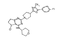 Cc1nc(C2CCN(c3nc4c(c(NC5CCOCC5)n3)[S+]([O-])CC4)CC2)oc1-c1ccc(Cl)cc1